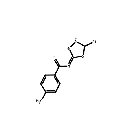 CCC1N[N]C(=NC(=O)c2ccc(C)cc2)S1